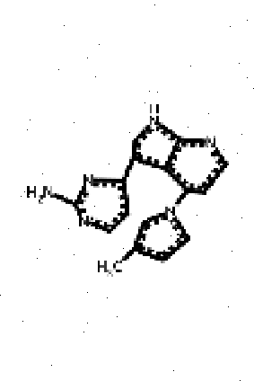 Cc1ccn(-c2ccnc3[nH]cc(-c4ccnc(N)n4)c23)c1